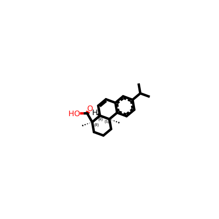 CC(C)c1ccc2c(c1)C=C[C@H]1[C@](C)(C(=O)O)CCC[C@]21C